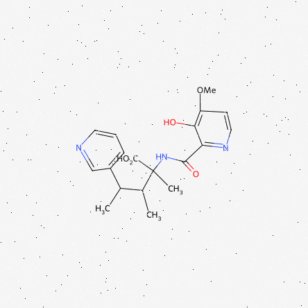 COc1ccnc(C(=O)NC(C)(C(=O)O)C(C)C(C)c2cccnc2)c1O